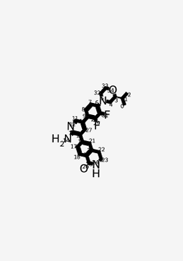 CC(C)[C@H]1CN(c2ccc(-c3cnc(N)c(-c4ccc5c(c4)CCNC5=O)c3)c(F)c2F)CCO1